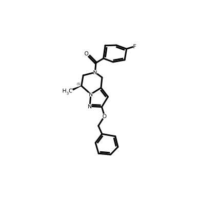 C[C@H]1CN(C(=O)c2ccc(F)cc2)Cc2cc(OCc3ccccc3)nn21